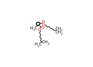 Cc1cccc(C(=O)OCCCCCCC(C)C)c1C(=O)OCCCCCCC(C)C